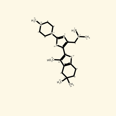 CN(N)Cc1nc(N2CCN(C)CC2)sc1-c1sc2c(c1C(=O)O)CC(C)(C)CC2